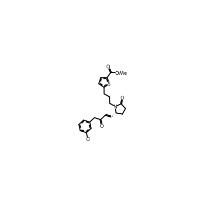 COC(=O)c1ccc(CCCN2C(=O)CC[C@@H]2C=CC(=O)Cc2cccc(Cl)c2)s1